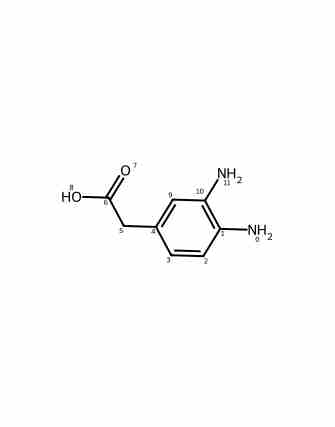 Nc1ccc(CC(=O)O)cc1N